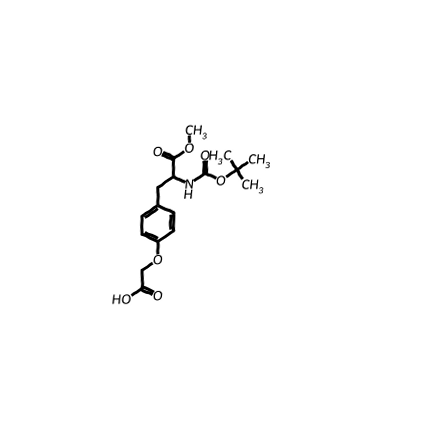 COC(=O)C(Cc1ccc(OCC(=O)O)cc1)NC(=O)OC(C)(C)C